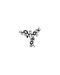 COC(=O)c1cccc2c(N[C@H](CN(C)S(=O)(=O)c3ccc(N)cc3)c3ccc(OC(F)(F)F)c(Cl)c3)nc(C)nc12